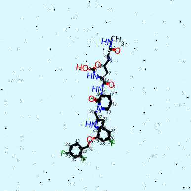 CNC(=O)/C=C/CC[C@H](NC(=O)O)C(=O)Nc1cccn(Cc2cc3cc(F)cc(OCc4ccc(F)cc4F)c3[nH]2)c1=O